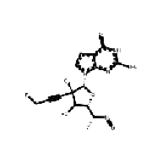 C[C@@H](N=O)[C@H]1O[C@@H](n2ccc3c(=O)[nH]c(N)nc32)[C@@](Cl)(C#CCF)C1O